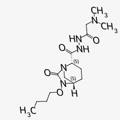 CCCCON1C(=O)N2C[C@@H]1CC[C@H]2C(=O)NNC(=O)CN(C)C